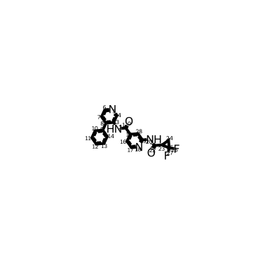 O=C(Nc1cnccc1-c1ccccc1)c1ccnc(NC(=O)C2CC2(F)F)c1